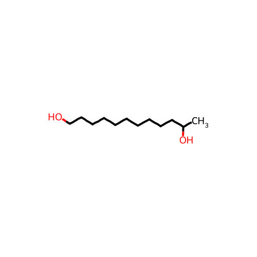 CC(O)CCCCCCCCCCO